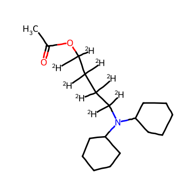 [2H]C([2H])(OC(C)=O)C([2H])([2H])C([2H])([2H])C([2H])([2H])N(C1CCCCC1)C1CCCCC1